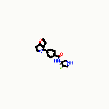 O=C(N[C@@H]1CNC[C@H]1F)c1ccc(-c2nccc3occc23)cc1